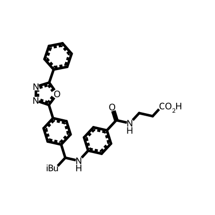 CCC(C)C(Nc1ccc(C(=O)NCCC(=O)O)cc1)c1ccc(-c2nnc(-c3ccccc3)o2)cc1